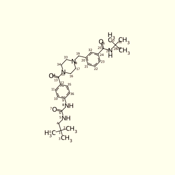 CC(C)(C)CNC(=O)Nc1ccc(C(=O)N2CCN(Cc3cccc(C(=O)NC(C)(C)C)c3)CC2)cc1